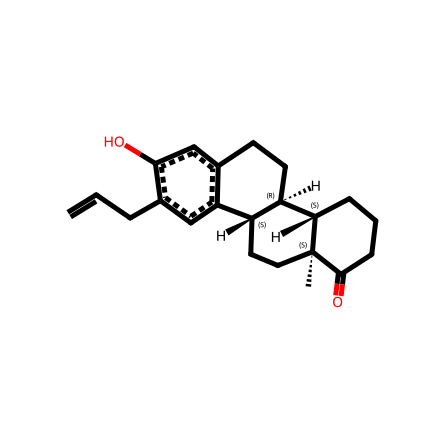 C=CCc1cc2c(cc1O)CC[C@@H]1[C@@H]2CC[C@]2(C)C(=O)CCC[C@@H]12